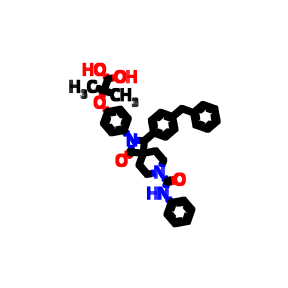 CC(C)(Oc1ccc(N2C(=O)C3(CCN(C(=O)Nc4ccccc4)CC3)C2c2ccc(Cc3ccccc3)cc2)cc1)C(O)O